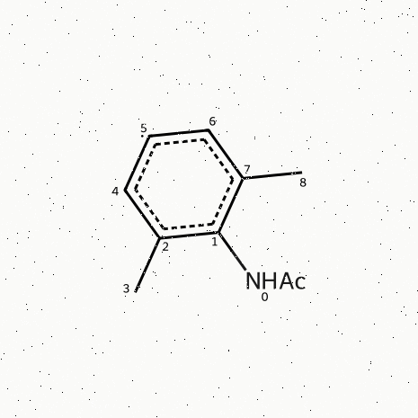 CC(=O)Nc1c(C)c[c]cc1C